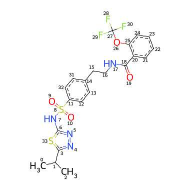 CC(C)c1nnc(NS(=O)(=O)c2ccc(CCNC(=O)c3ccccc3OC(F)(F)F)cc2)s1